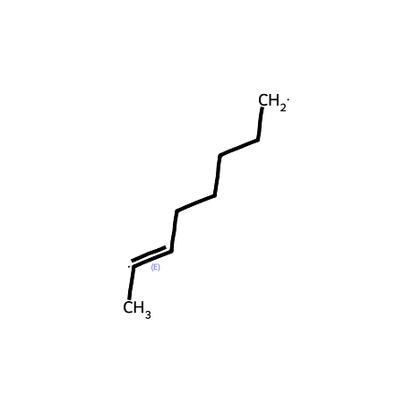 [CH2]CCCC/C=[C]/C